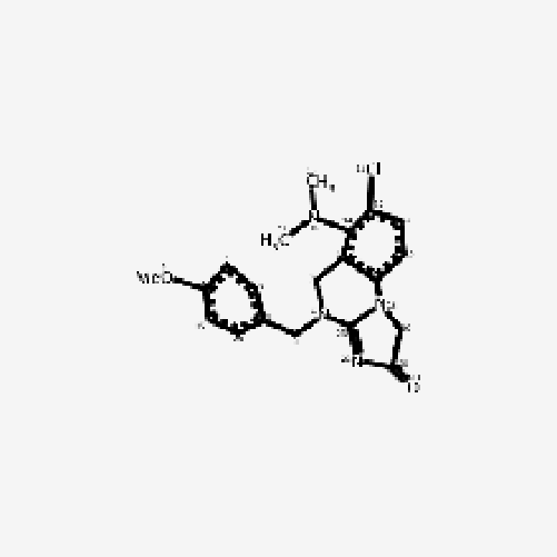 COc1ccc(CN2Cc3c(ccc(Cl)c3N(C)C)N3CC(=O)N=C23)cc1